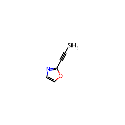 [SiH3]C#Cc1ncco1